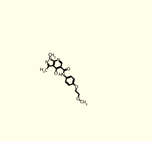 COCCOc1ccc(NC(=O)c2cnc3c(c(C)nn3C)c2Cl)cc1